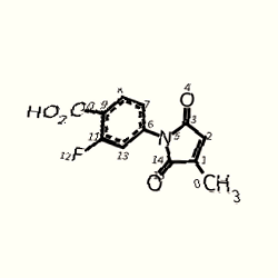 CC1=CC(=O)N(c2ccc(C(=O)O)c(F)c2)C1=O